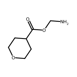 NCOC(=O)C1CCOCC1